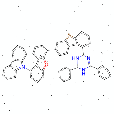 c1ccc(C2=NC(c3cccc4sc5cc(-c6cccc7c6oc6cccc(-n8c9ccccc9c9ccccc98)c67)ccc5c34)NC(c3ccccc3)N2)cc1